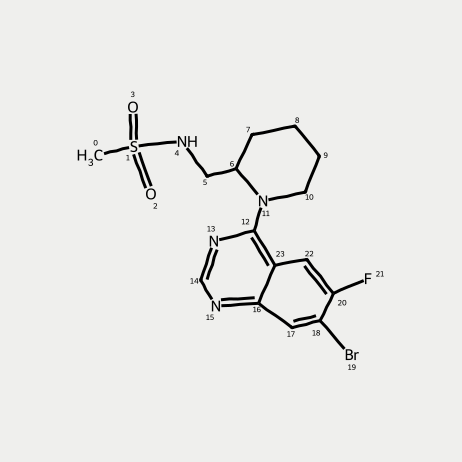 CS(=O)(=O)NCC1CCCCN1c1ncnc2cc(Br)c(F)cc12